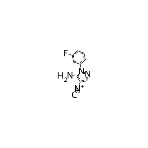 [C-]#[N+]c1cnn(-c2cccc(F)c2)c1N